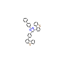 c1ccc(-c2ccc(-c3nc(-c4ccc(-c5cccc6sc7ccccc7c56)cc4)cc(-c4cccc5sc6ccccc6c45)n3)cc2)cc1